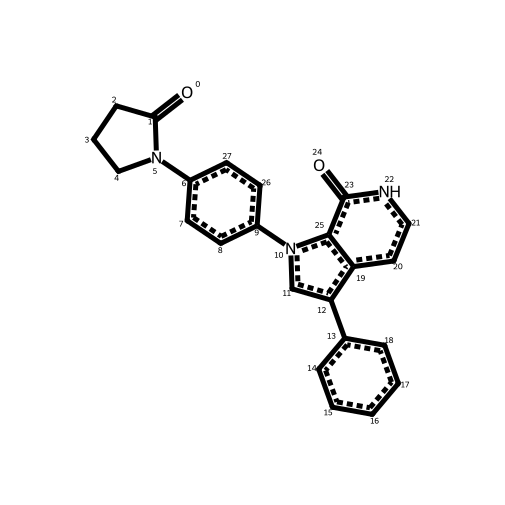 O=C1CCCN1c1ccc(-n2cc(-c3ccccc3)c3cc[nH]c(=O)c32)cc1